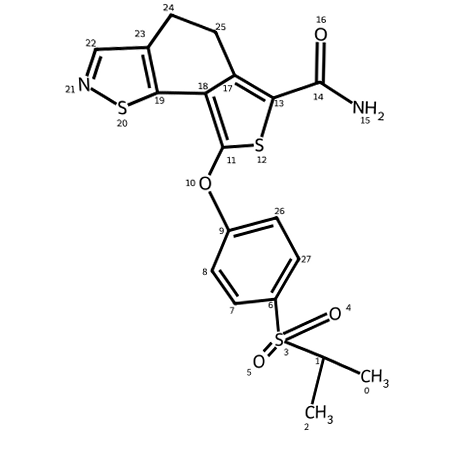 CC(C)S(=O)(=O)c1ccc(Oc2sc(C(N)=O)c3c2-c2sncc2CC3)cc1